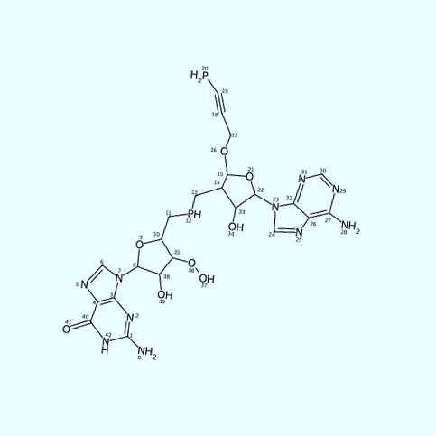 Nc1nc2c(ncn2C2OC(CPCC3C(OCC#CP)OC(n4cnc5c(N)ncnc54)C3O)C(OO)C2O)c(=O)[nH]1